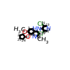 COc1ccc2c(Nc3c(Cl)cncc3Cl)cc(C)nc2c1OC1CCCC1